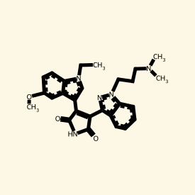 CCn1cc(C2=C(c3nn(CCCN(C)C)c4ccccc34)C(=O)NC2=O)c2cc(OC)ccc21